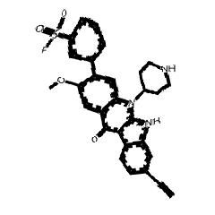 C#Cc1ccc2c(c1)[nH]c1c2c(=O)c2cc(OC)c(-c3cccc(S(=O)(=O)F)c3)cc2n1C1CCNCC1